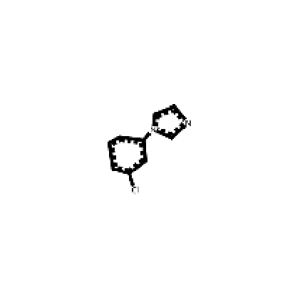 Clc1cc[c]c(-n2ccnc2)c1